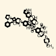 CCc1ccccc1[C@@H]1CCCN1C1CC2(CCN(c3ccc(C(=O)NS(=O)(=O)c4cc5c(c([N+](=O)[O-])c4)N[C@H](CN4CCN(C)CC4)CO5)c(N4c5cc6cc[nH]c6nc5O[C@H]5COCC[C@@H]54)c3)CC2)C1